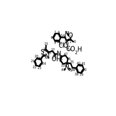 Cc1onc(-c2ccccc2Cl)c1OC(=O)O.Cc1sc(-c2ccccc2)nc1CC(=O)NC1CCC(CCc2ccccc2)(N(C)C)CC1